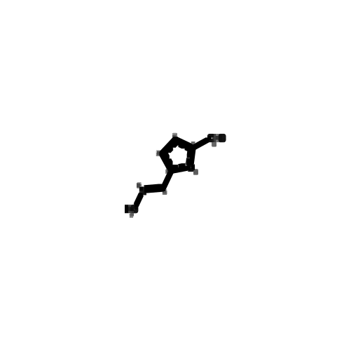 O=Cc1ccc(C=NO)o1